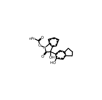 CCCC(=O)ON1C(=O)C(O)(c2cc3c(cc2O)CCC3)c2ccccc21